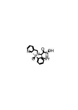 CC(C)C[C@H](C(=O)NO)N(Cc1cccnc1)[P@](C)(=O)c1ccccc1